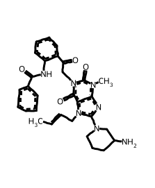 C/C=C/Cn1c(N2CCCC(N)C2)nc2c1c(=O)n(CC(=O)c1ccccc1NC(=O)c1ccccc1)c(=O)n2C